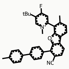 Cc1ccc(-c2ccc(-c3c(C#N)ccc4c3oc3c(-c5cc(F)c(C(C)(C)C)c[n+]5C)c(C)ccc34)cc2)cc1